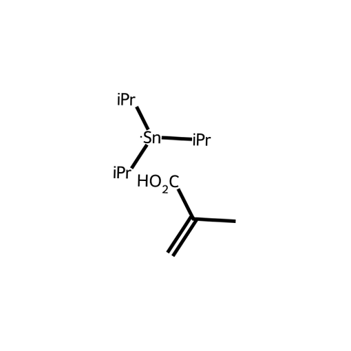 C=C(C)C(=O)O.C[CH](C)[Sn]([CH](C)C)[CH](C)C